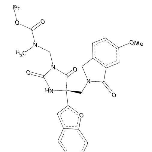 COc1ccc2c(c1)C(=O)N(C[C@@]1(c3cc4cnccc4o3)NC(=O)N(CN(C)C(=O)OC(C)C)C1=O)C2